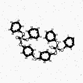 O=P(Oc1ccccc1)(Oc1ccccc1)Oc1ccc(Sc2ccc(OP(=O)(Oc3ccccc3)Oc3ccccc3)cc2)cc1